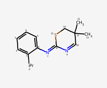 CC(C)c1ccccc1/N=C1/N=CC(C)(C)CS1